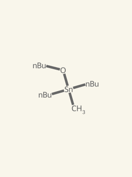 CCCC[O][Sn]([CH3])([CH2]CCC)[CH2]CCC